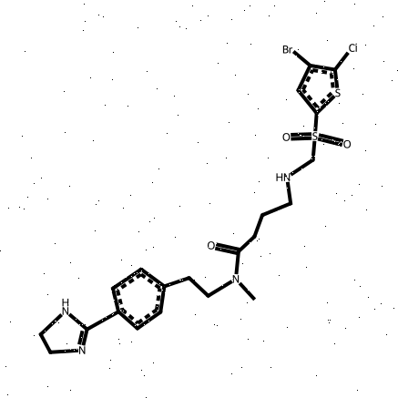 CN(CCc1ccc(C2=NCCN2)cc1)C(=O)CCCNCS(=O)(=O)c1cc(Br)c(Cl)s1